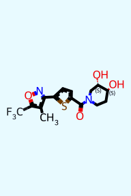 Cc1c(-c2ccc(C(=O)N3CC[C@H](O)[C@@H](O)C3)s2)noc1C(F)(F)F